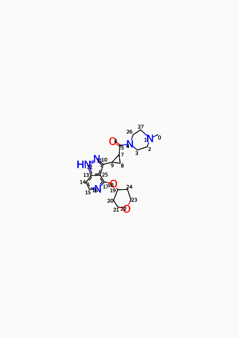 CN1CCN(C(=O)C2CC2c2n[nH]c3ccnc(OC4CCOCC4)c23)CC1